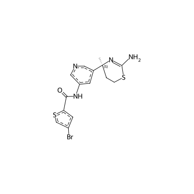 C[C@@]1(c2cncc(NC(=O)c3cc(Br)cs3)c2)CCSC(N)=N1